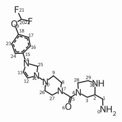 NCC1CN(C(=O)N2CCN(N3C=CN(c4ccc(OC(F)F)cc4)C3)CC2)CCN1